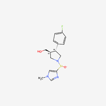 Cn1cnc([S+]([O-])N2C[C@@H](CO)[C@H](c3ccc(F)cc3)C2)c1